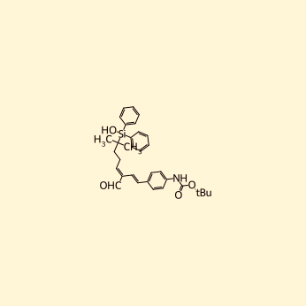 CC(C)(C)OC(=O)Nc1ccc(/C=C/C(C=O)=C\CCC(C)(C)[Si](O)(c2ccccc2)c2ccccc2)cc1